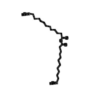 CCCCCCCCCCCCCCCCCCCCCC(=O)OC(=O)CCCCCCCCCCCCCCCCCCCC